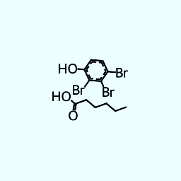 CCCCCC(=O)O.Oc1ccc(Br)c(Br)c1Br